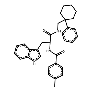 Cc1ccc(C(=O)N[C@@](C)(Cc2c[nH]c3ccccc23)C(=O)NCC2(c3ccccn3)CCCCC2)cc1